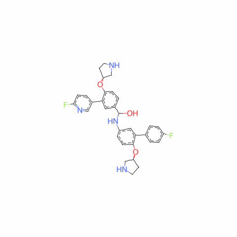 OC(Nc1ccc(O[C@H]2CCNC2)c(-c2ccc(F)cc2)c1)c1ccc(O[C@H]2CCNC2)c(-c2ccc(F)nc2)c1